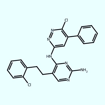 Nc1ncc(CCc2ccccc2Cl)c(Nc2cc(-c3ccccc3)c(Cl)nn2)n1